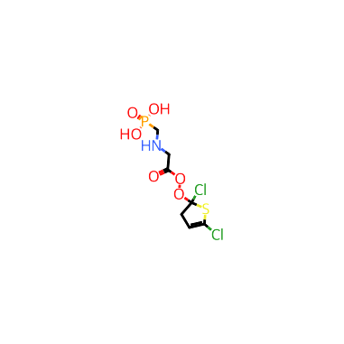 O=C(CNCP(=O)(O)O)OOC1(Cl)CC=C(Cl)S1